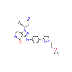 COCCn1ccc(-c2ccc(Nc3nn(C(CC#N)C4CC4)c4cc[nH]c(=O)c34)cc2)n1